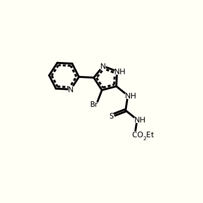 CCOC(=O)NC(=S)Nc1[nH]nc(-c2ccccn2)c1Br